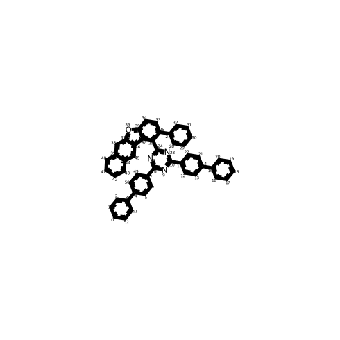 c1ccc(-c2ccc(-c3nc(-c4ccc(-c5ccccc5)cc4)nc(-c4c(-c5ccccc5)ccc5oc6cc7ccccc7cc6c45)n3)cc2)cc1